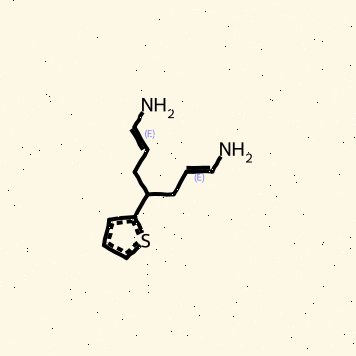 N/C=C/CC(C/C=C/N)c1cccs1